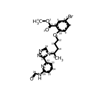 COC(=O)c1cc(Br)ccc1OCCCC(C)n1cnnc1-c1cccc(NC=O)n1